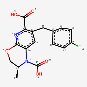 C[C@H]1COc2nc(C(=O)O)c(Cc3ccc(F)cc3)cc2N1C(=O)O